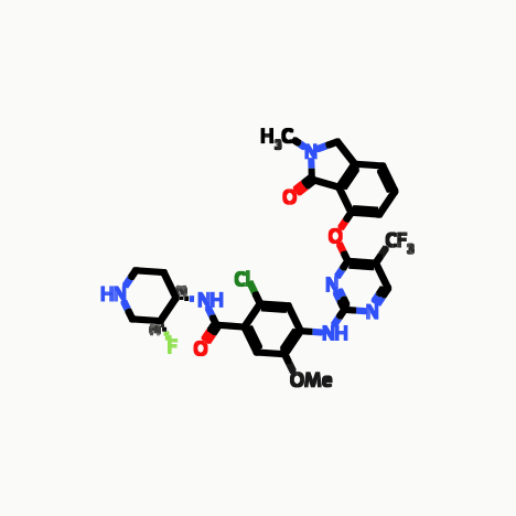 COc1cc(C(=O)N[C@H]2CCNC[C@H]2F)c(Cl)cc1Nc1ncc(C(F)(F)F)c(Oc2cccc3c2C(=O)N(C)C3)n1